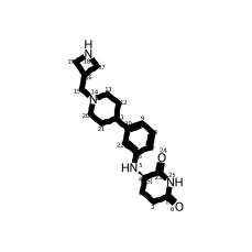 O=C1CC[C@H](Nc2cccc(C3CCN(CC4CNC4)CC3)c2)C(=O)N1